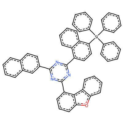 c1ccc([Si](c2ccccc2)(c2ccccc2)c2ccc(-c3nc(-c4ccc5ccccc5c4)nc(-c4cccc5oc6ccccc6c45)n3)c3ccccc23)cc1